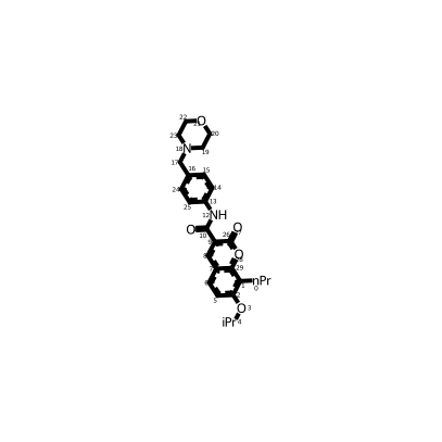 CCCc1c(OC(C)C)ccc2cc(C(=O)Nc3ccc(CN4CCOCC4)cc3)c(=O)oc12